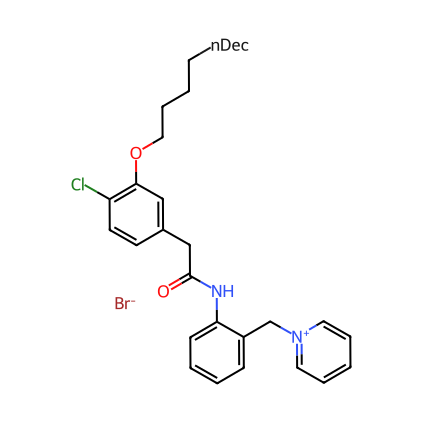 CCCCCCCCCCCCCCOc1cc(CC(=O)Nc2ccccc2C[n+]2ccccc2)ccc1Cl.[Br-]